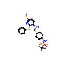 COc1ccc(NC[C@H]2CC[C@H](NS(=O)(=O)C(C)(C)C)CC2)c(Sc2ccccc2)n1